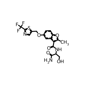 Cc1oc2ccc(OCc3cnc(C(F)(F)F)s3)cc2c1C(=O)NC(CO)C(N)=O